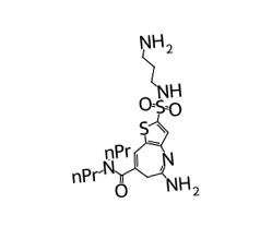 CCCN(CCC)C(=O)C1=Cc2sc(S(=O)(=O)NCCCN)cc2N=C(N)C1